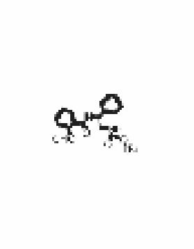 CC(C)(C)OC(=O)NC[C@@H](NC(=O)c1ccccc1C=O)c1ccccc1